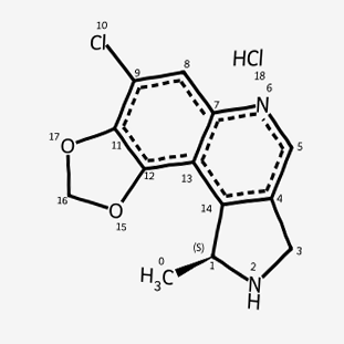 C[C@@H]1NCc2cnc3cc(Cl)c4c(c3c21)OCO4.Cl